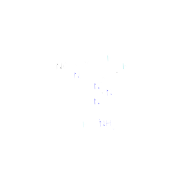 N#Cc1cccc(Cn2c(N3CC[C@@H](F)[C@H](N)C3)nc3cc(F)c(F)cc32)n1